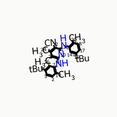 Cc1ccc(C(C)(C)C)cc1Nc1nc(Nc2cc(C(C)(C)C)ccc2C)c(C#N)c(C)c1C